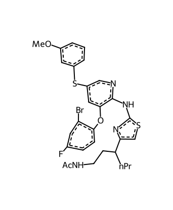 CCCC(CCNC(C)=O)c1csc(Nc2ncc(Sc3cccc(OC)c3)cc2Oc2ccc(F)cc2Br)n1